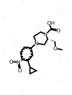 COC[C@@H]1CN(c2ccc([N+](=O)[O-])c(C3CC3)c2)CCN1C(=O)O